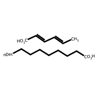 CC=CC=CC(=O)O.CCCCCCCCCCCCCCCCCC(=O)O